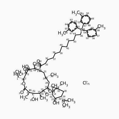 CC[C@H]1OC(=O)[C@H](C)[C@@H](O)[C@H](C)[C@@H](O[C@@H]2O[C@H](C)C[C@H](N(C)C)[C@H]2O)[C@](C)(O)C[C@@H](C)CN(C(=O)CCCCCCCCCCC[P+](c2cccc(C)c2)(c2cccc(C)c2)c2cccc(C)c2)[C@H](C)[C@@H](O)[C@]1(C)O.[Cl-]